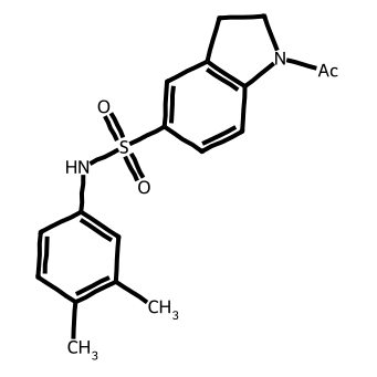 CC(=O)N1CCc2cc(S(=O)(=O)Nc3ccc(C)c(C)c3)ccc21